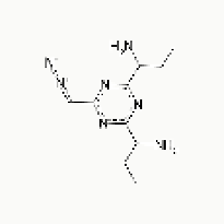 CCC(N)c1nc(C=[N+]=[N-])nc(C(N)CC)n1